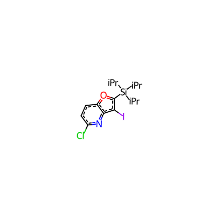 CC(C)[Si](c1oc2ccc(Cl)nc2c1I)(C(C)C)C(C)C